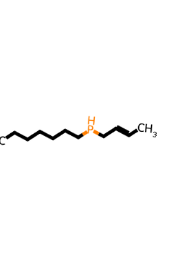 CC=CCPCCCCCCC